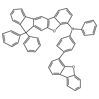 c1ccc(N(c2ccc(-c3cccc4c3oc3ccccc34)cc2)c2cccc3c2oc2cc4c(cc23)-c2ccccc2C4(c2ccccc2)c2ccccc2)cc1